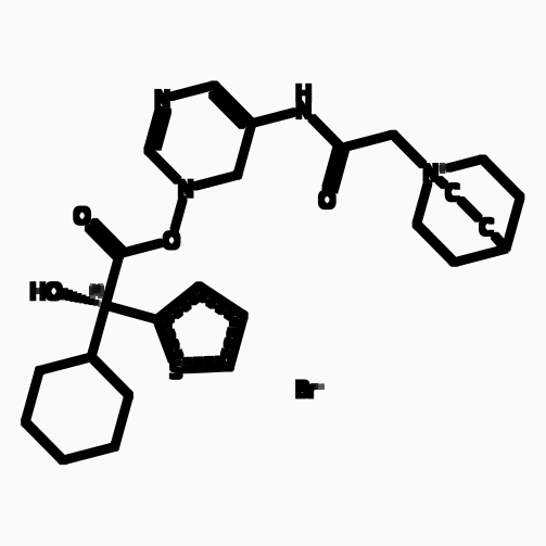 O=C(C[N+]12CCC(CC1)CC2)NC1=CN=CN(OC(=O)[C@@](O)(c2cccs2)C2CCCCC2)C1.[Br-]